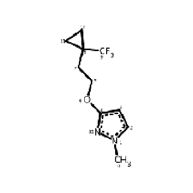 Cn1ccc(OCCC2(C(F)(F)F)CC2)n1